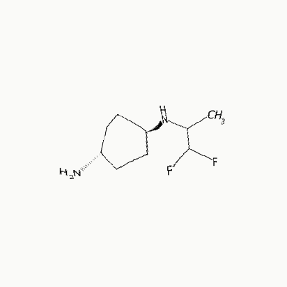 CC(N[C@H]1CC[C@H](N)CC1)C(F)F